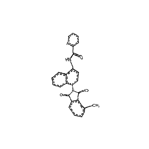 Cc1cccc2c1C(=O)N(c1ccc(NC(=O)c3ccccn3)c3ccccc13)C2=O